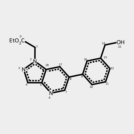 CCOC(=O)Cn1ncc2ncc(-c3cccc(CO)c3)cc21